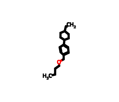 C=CC1CCC(c2ccc(COCCCC)cc2)CC1